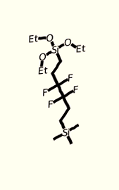 CCO[Si](CCC(F)(F)C(F)(F)CC[Si](C)(C)C)(OCC)OCC